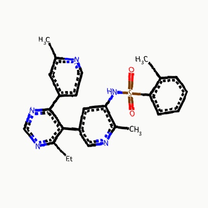 CCc1ncnc(-c2ccnc(C)c2)c1-c1cnc(C)c(NS(=O)(=O)c2ccccc2C)c1